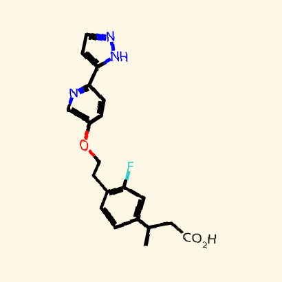 CC(CC(=O)O)c1ccc(CCOc2ccc(-c3ccn[nH]3)nc2)c(F)c1